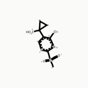 CS(=O)(=O)c1ncc(C2(C(=O)O)CC2)c(Cl)n1